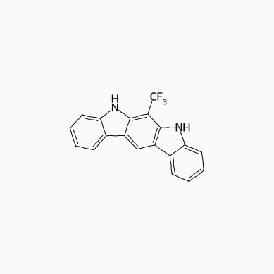 FC(F)(F)c1c2[nH]c3ccccc3c2cc2c1[nH]c1ccccc12